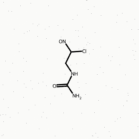 NC(=O)NCC(Cl)N=O